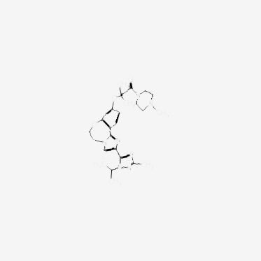 Cc1nc(-c2cn3c(n2)-c2ccc(OC(C)(C)C(=O)N4CCN(C)CC4)cc2OCC3)n(C(C)C)n1